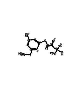 NCc1cc(Cl)cc(CNC(=O)C(Cl)(Cl)Cl)c1